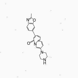 Cc1nc2ccc(C3=C\C(=O)N4C=C(N5CCN[C@@H](C)C5)C=C\C4=C/C=C/3)cc2o1